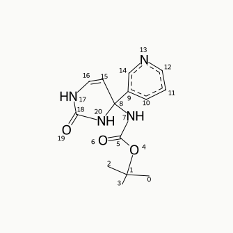 CC(C)(C)OC(=O)NC1(c2cccnc2)C=CNC(=O)N1